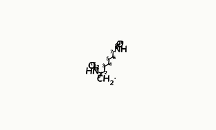 [CH2]C(CCCCCCNC=O)NC=O